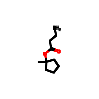 BCCC(=O)OC1(C)CCCC1